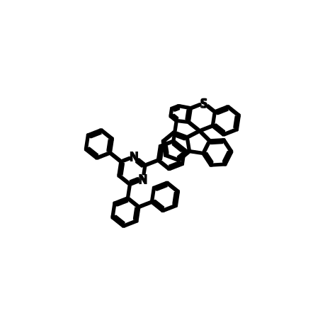 c1ccc(-c2cc(-c3ccccc3-c3ccccc3)nc(-c3cccc(-c4cccc5c4C4(c6ccccc6S5)c5ccccc5-c5ccccc54)c3)n2)cc1